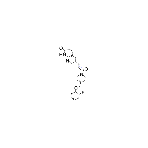 O=C1CCc2cc(/C=C/C(=O)N3CC=C(COc4ccccc4F)CC3)cnc2N1